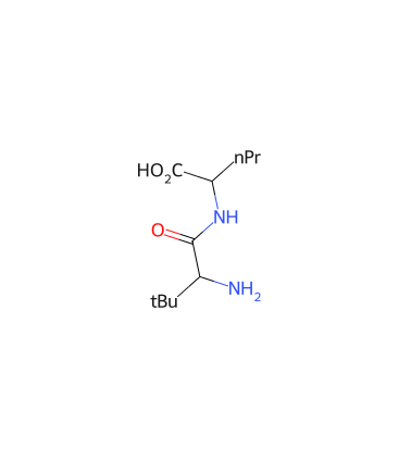 CCCC(NC(=O)C(N)C(C)(C)C)C(=O)O